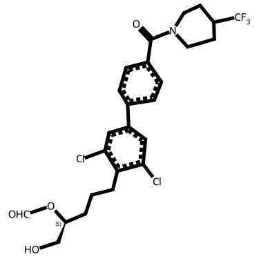 O=CO[C@H](CO)CCCc1c(Cl)cc(-c2ccc(C(=O)N3CCC(C(F)(F)F)CC3)cc2)cc1Cl